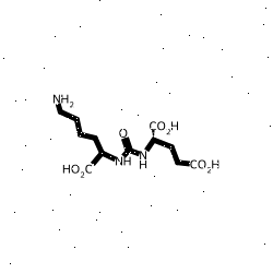 NCCCCC(NC(=O)N[C@@H](CCC(=O)O)C(=O)O)C(=O)O